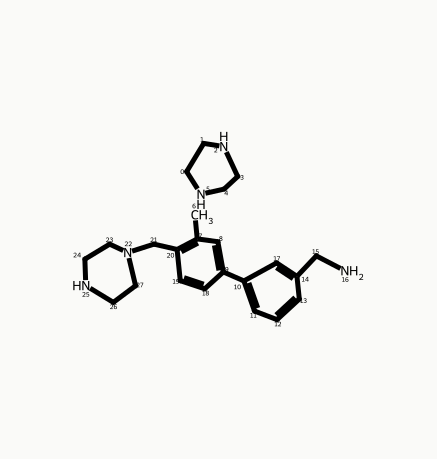 C1CNCCN1.Cc1cc(-c2cccc(CN)c2)ccc1CN1CCNCC1